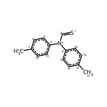 Cc1ccc(N([C]=S)c2ccc(C)cc2)cc1